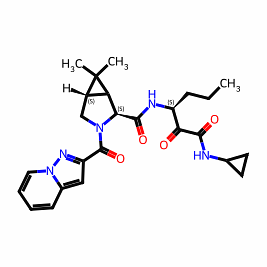 CCC[C@H](NC(=O)[C@@H]1C2[C@H](CN1C(=O)c1cc3ccccn3n1)C2(C)C)C(=O)C(=O)NC1CC1